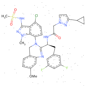 COc1ccc2c(c1)N=C([C@H](Cc1cc(F)cc(F)c1)NC(=O)Cn1ccc(C3CC3)n1)N(c1ccc(Cl)c3c(NS(C)(=O)=O)nn(C)c13)C2